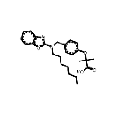 CCCCCCCN(Cc1ccc(OC(C)(C)C(=O)O)cc1)c1nc2ccccc2o1